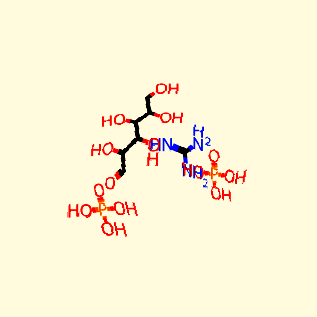 N=C(N)N.O=CC(O)C(O)C(O)C(O)CO.O=P(O)(O)O.O=P(O)(O)O